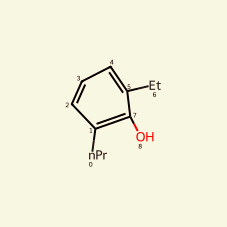 CCCc1cccc(CC)c1O